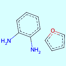 Nc1ccccc1N.c1ccoc1